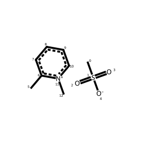 CS(=O)(=O)[O-].Cc1cccc[n+]1C